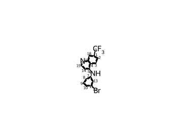 FC(F)(F)c1ccc2c(Nc3cccc(Br)c3)ccnc2c1